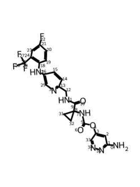 Nc1cc(OC(=O)NC2(C(=O)NCc3ccc(Nc4ccc(F)cc4C(F)(F)F)cn3)CC2)cnn1